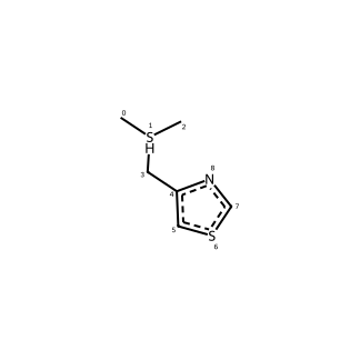 C[SH](C)Cc1cscn1